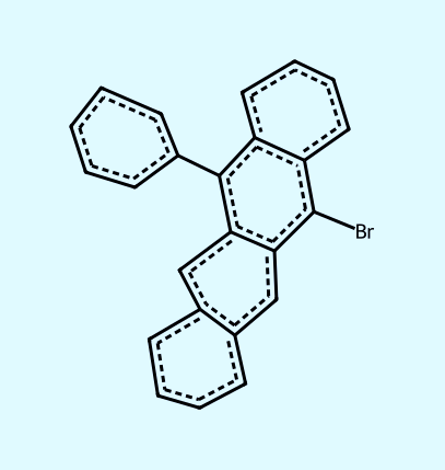 Brc1c2ccccc2c(-c2ccccc2)c2cc3ccccc3cc12